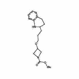 CC(C)(C)OC(=O)N1CC(OCCCC2CCc3cccnc3N2)C1